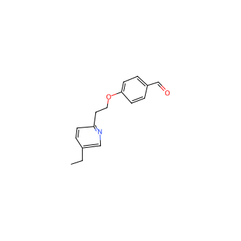 CCc1ccc(CCOc2ccc(C=O)cc2)nc1